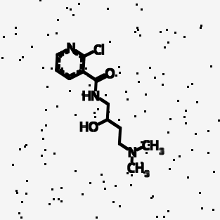 CN(C)CCC(O)CNC(=O)c1cccnc1Cl